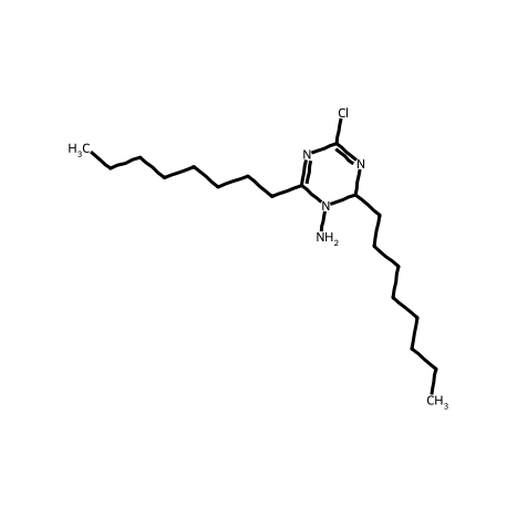 CCCCCCCCC1=NC(Cl)=NC(CCCCCCCC)N1N